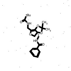 CC1(C)OC2=C(CNC(=O)C(C)(C)C)OC[C@]2(CNC(=O)c2ccccc2)O1